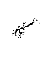 CCCCNC(=O)NN(CCC)C(N)=O